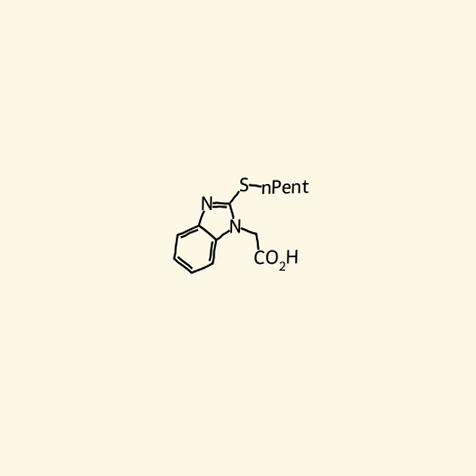 CCCCCSc1nc2ccccc2n1CC(=O)O